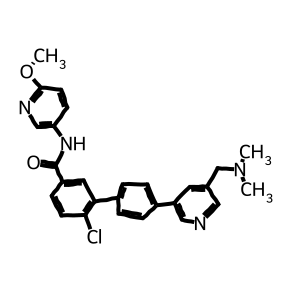 COc1ccc(NC(=O)c2ccc(Cl)c(-c3ccc(-c4cncc(CN(C)C)c4)cc3)c2)cn1